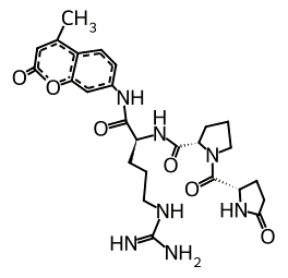 Cc1cc(=O)oc2cc(NC(=O)[C@H](CCCNC(=N)N)NC(=O)[C@@H]3CCCN3C(=O)[C@@H]3CCC(=O)N3)ccc12